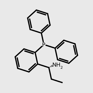 CC[C@@H](N)c1ccccc1P(c1ccccc1)c1ccccc1